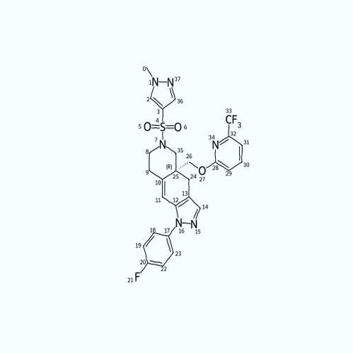 Cn1cc(S(=O)(=O)N2CCC3=Cc4c(cnn4-c4ccc(F)cc4)C[C@]3(COc3cccc(C(F)(F)F)n3)C2)cn1